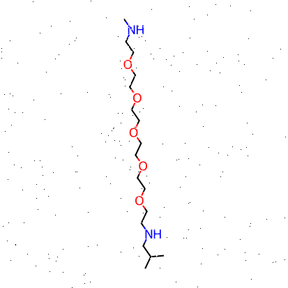 CNCCOCCOCCOCCOCCOCCNCC(C)C